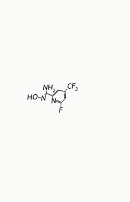 NC(=NO)c1cc(C(F)(F)F)cc(F)n1